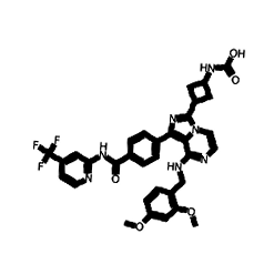 COc1ccc(CNc2nccn3c(C4CC(NC(=O)O)C4)nc(-c4ccc(C(=O)Nc5cc(C(F)(F)F)ccn5)cc4)c23)c(OC)c1